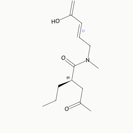 C=C(O)/C=C/CN(C)C(=O)[C@H](CCC)CC(C)=O